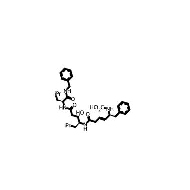 CC(C)C[C@H](NC(=O)C[C@H](O)[C@H](CC(C)C)NC(=O)C/C=C/[C@H](Cc1ccccc1)NC(=O)O)C(=O)NCc1ccccc1